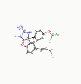 CN1C(=O)[C@@](c2ccc(OC(F)F)cc2)(c2cccc(C#CCF)c2)N=C1N